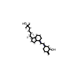 C=C1CC/C(=C\C=C2/CCC[C@@]3(C)C2CCC3[C@H](C)CCCC(C)(C)O)C[C@H]1O